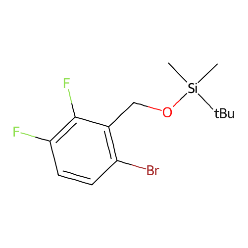 CC(C)(C)[Si](C)(C)OCc1c(Br)ccc(F)c1F